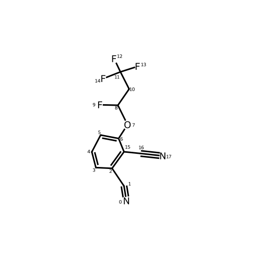 N#Cc1cccc(OC(F)CC(F)(F)F)c1C#N